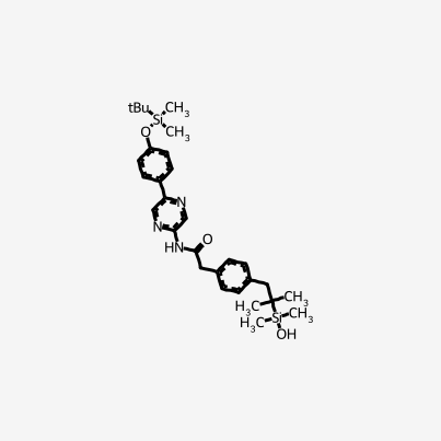 CC(C)(Cc1ccc(CC(=O)Nc2cnc(-c3ccc(O[Si](C)(C)C(C)(C)C)cc3)cn2)cc1)[Si](C)(C)O